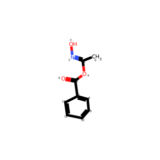 CC(=NO)OC(=O)c1ccccc1